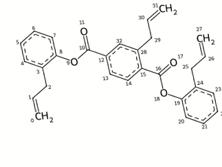 C=CCc1ccccc1OC(=O)c1ccc(C(=O)Oc2ccccc2CC=C)c(CC=C)c1